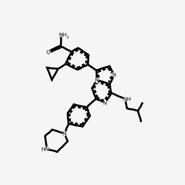 CC(C)CNc1nc(-c2ccc(N3CCNCC3)cc2)cn2c(-c3ccc(C(N)=O)c(C4CC4)c3)cnc12